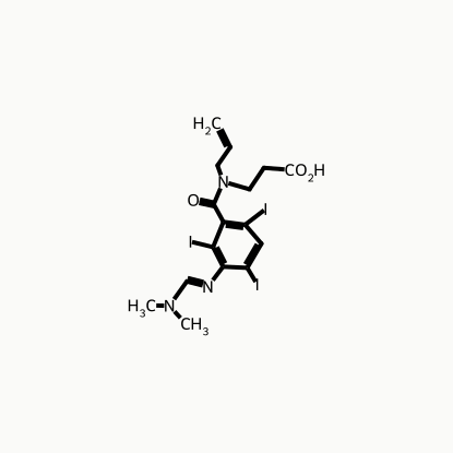 C=CCN(CCC(=O)O)C(=O)c1c(I)cc(I)c(N=CN(C)C)c1I